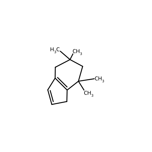 CC1(C)CC2=C(CC=C2)C(C)(C)C1